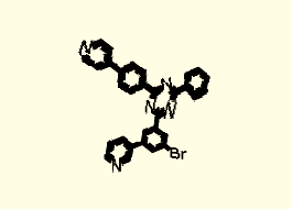 Brc1cc(-c2cccnc2)cc(-c2nc(-c3ccccc3)nc(-c3ccc(-c4ccncc4)cc3)n2)c1